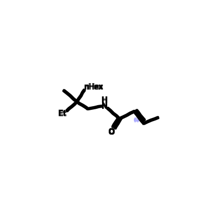 C/C=C/C(=O)NCC(C)(CC)CCCCCC